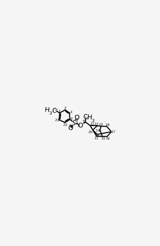 Cc1ccc(S(=O)(=O)OC(C)C2C3C4CC5CC(C4)CC32C5)cc1